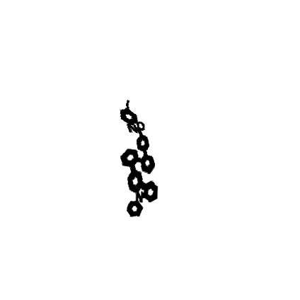 Ic1ccc2nc(-c3ccc(-c4ccccc4-c4ccccc4-c4ccc5c(c4)c4ccccc4n5-c4ccccc4)cc3)oc2c1